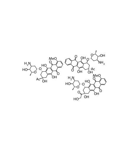 CC(=O)[C@]1(O)Cc2c(O)c3c(c(O)c2[C@@H](O[C@H]2C[C@H](N)[C@H](O)[C@H](C)O2)C1)C(=O)c1ccccc1C3=O.COc1cccc2c1C(=O)c1c(O)c3c(c(O)c1C2=O)C[C@@](O)(C(=O)CO)C[C@@H]3O[C@H]1C[C@H](N)[C@H](O)[C@H](C)O1.COc1cccc2c1C(=O)c1c(O)c3c(c(O)c1C2=O)C[C@@](O)(C(C)=O)C[C@@H]3O[C@H]1C[C@H](N)[C@H](O)[C@H](C)O1